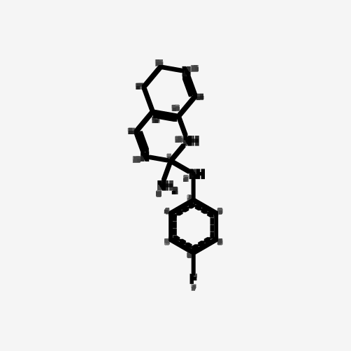 NC1(Nc2ccc(F)cc2)N=CC2=C(C=NCC2)N1